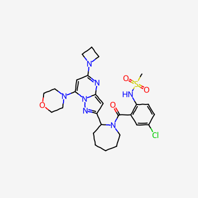 CS(=O)(=O)Nc1ccc(Cl)cc1C(=O)N1CCCCCC1c1cc2nc(N3CCC3)cc(N3CCOCC3)n2n1